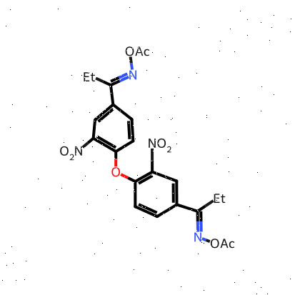 CC/C(=N\OC(C)=O)c1ccc(Oc2ccc(/C(CC)=N/OC(C)=O)cc2[N+](=O)[O-])c([N+](=O)[O-])c1